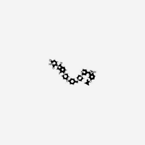 CC1(Oc2ccc3[nH]nc(-c4ccnc(N5CCN(CC6CCC(OC7CCN(c8ccc9c(c8F)CN(C8CCC(=O)NC8=O)C9=O)CC7)CC6)CC5)c4)c3c2)CC1